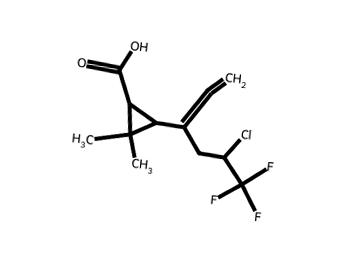 C=C=C(CC(Cl)C(F)(F)F)C1C(C(=O)O)C1(C)C